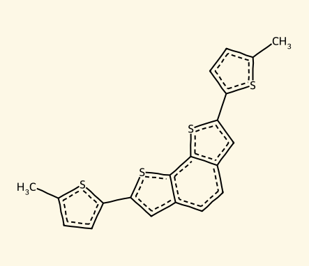 Cc1ccc(-c2cc3ccc4cc(-c5ccc(C)s5)sc4c3s2)s1